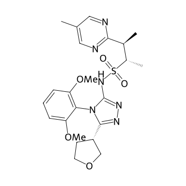 COc1cccc(OC)c1-n1c(NS(=O)(=O)[C@@H](C)[C@H](C)c2ncc(C)cn2)nnc1[C@H]1CCOC1